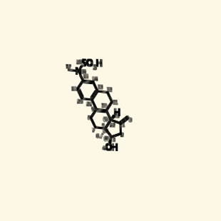 C=C1C[C@@H](O)[C@@]2(C)CCC3=C(CCc4cc(N(C)S(=O)(=O)O)ccc43)[C@H]12